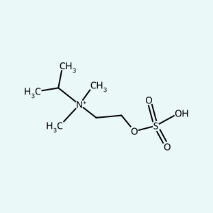 CC(C)[N+](C)(C)CCOS(=O)(=O)O